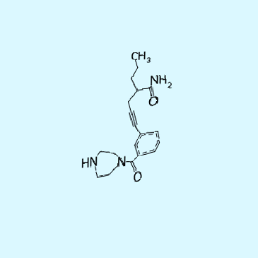 CCCC(CC#Cc1cccc(C(=O)N2CCNCC2)c1)C(N)=O